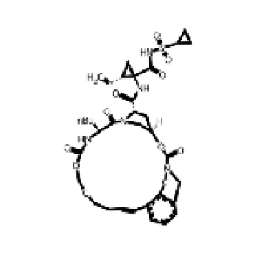 C=C[C@@H]1C[C@]1(NC(=O)[C@@H]1C[C@@H]2CN1C(=O)[C@H](CCCC)NC(=O)OCCCC/C=C/c1cccc3c1CN(C3)C(=O)O2)C(=O)NS(=O)(=O)C1CC1